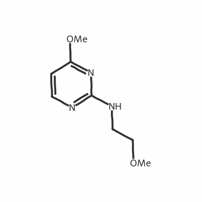 COCCNc1nccc(OC)n1